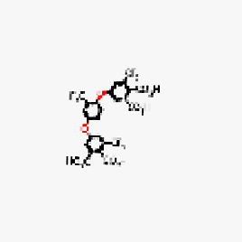 O=C(O)c1cc(Oc2ccc(Oc3cc(C(=O)O)c(C(=O)O)c(C(F)(F)F)c3)c(C(F)(F)F)c2)cc(C(F)(F)F)c1C(=O)O